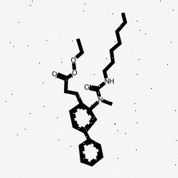 CCCCCCCNC(=O)N(C)c1cc(-c2ccccc2)ccc1CCC(=O)OOCC